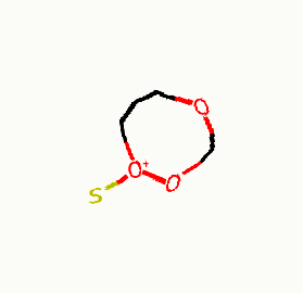 [S-][O+]1CCOCO1